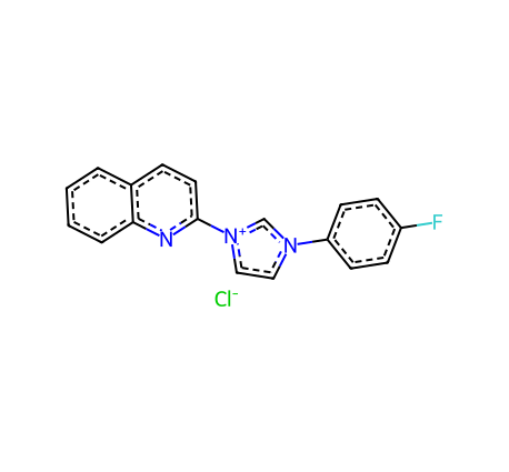 Fc1ccc(-n2cc[n+](-c3ccc4ccccc4n3)c2)cc1.[Cl-]